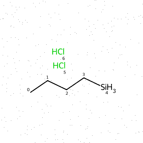 CCCC[SiH3].Cl.Cl